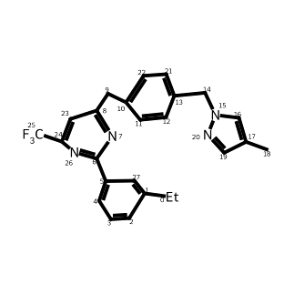 CCc1cccc(-c2nc(Cc3ccc(Cn4cc(C)cn4)cc3)cc(C(F)(F)F)n2)c1